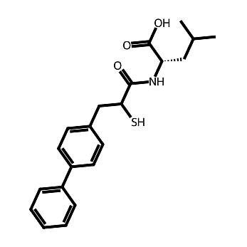 CC(C)C[C@H](NC(=O)C(S)Cc1ccc(-c2ccccc2)cc1)C(=O)O